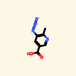 Cc1ncc(C(=O)O)cc1N=[N+]=[N-]